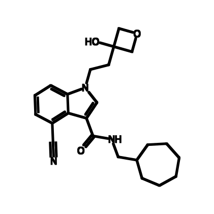 N#Cc1cccc2c1c(C(=O)NCC1CCCCCC1)cn2CCC1(O)COC1